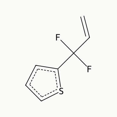 C=CC(F)(F)c1cccs1